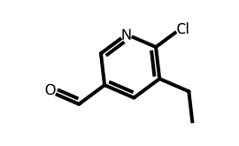 CCc1cc(C=O)cnc1Cl